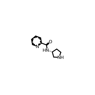 O=C(N[C@@H]1CCNC1)c1ccccn1